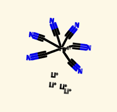 N#[C][Fe-4]([C]#N)([C]#N)([C]#N)([C]#N)[C]#N.[Li+].[Li+].[Li+].[Li+]